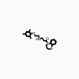 Cc1cc(C)c(OCCNCCC(=O)N2CCCSc3ccccc32)c(C)c1